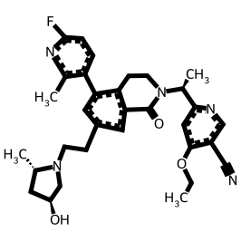 CCOc1cc([C@H](C)N2CCc3c(cc(CCN4C[C@@H](O)C[C@@H]4C)cc3-c3ccc(F)nc3C)C2=O)ncc1C#N